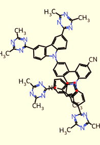 Cc1nc(C)nc(-c2ccc3c(c2)c2cc(-c4nc(C)nc(C)n4)ccc2n3-c2ccc(-c3ccc(C(F)(F)F)cc3C#N)c(-c3cc(C#N)ccc3-n3c4ccc(-c5nc(C)nc(C)n5)cc4c4cc(-c5nc(C)nc(C)n5)ccc43)c2)n1